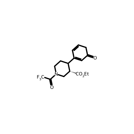 CCOC(=O)[C@@H]1CN(C(=O)C(F)(F)F)CCC1C1=CC(=O)CC=C1